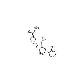 CC(C)(C)OC(=O)N1CC[C@@H](c2cc3nnc(-c4ccccc4O)cc3n2C2CC2)C1